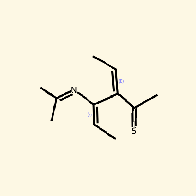 C/C=C(N=C(C)C)\C(=C/C)C(C)=S